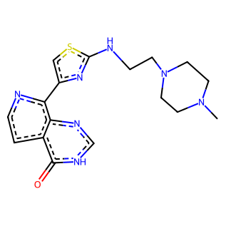 CN1CCN(CCNc2nc(-c3nccc4c(=O)[nH]cnc34)cs2)CC1